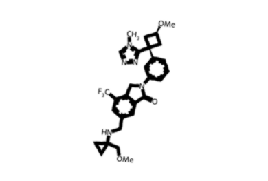 COCC1(NCc2cc3c(c(C(F)(F)F)c2)CN(c2cccc([C@]4(c5nncn5C)C[C@H](OC)C4)c2)C3=O)CC1